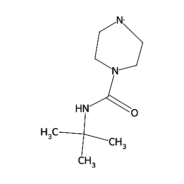 CC(C)(C)NC(=O)N1CC[N]CC1